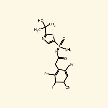 CC(C)C1=CC(C#N)C(F)C(C(C)C)=C1CC(=O)N=S(N)(=O)c1cnc(C(C)(C)O)s1